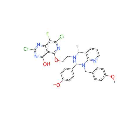 COc1ccc(CN(Cc2ccc(OC)cc2)c2ncccc2[C@@H](C)NCCOc2nc(Cl)c(F)c3nc(Cl)nc(O)c23)cc1